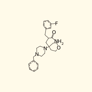 NC(=O)C(Cc1cccc(F)c1)CC1(N2CCN(Cc3ccccc3)CC2)CCOCC1